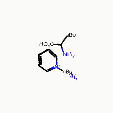 CCC(C)C(N)C(=O)O.CCCC[n+]1ccccc1.N